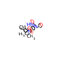 CCc1ccc(N(CC(C)C)S(=O)(=O)c2ccc3c(c2)NC(=O)CN3CC2CCOCC2)cc1